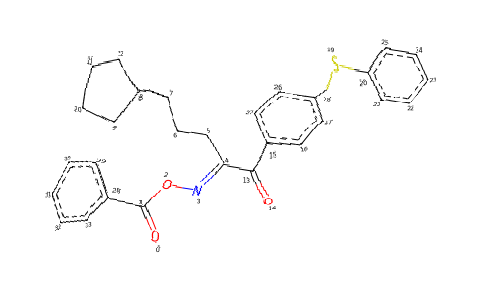 O=C(O/N=C(\CCCC1CCCC1)C(=O)c1ccc(Sc2ccccc2)cc1)c1ccccc1